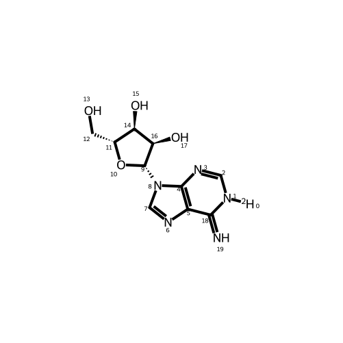 [2H]n1cnc2c(ncn2[C@@H]2O[C@H](CO)[C@@H](O)[C@H]2O)c1=N